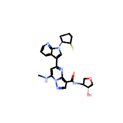 CNc1cc(-c2cn([C@H]3CCC[C@H]3F)c3ncccc23)nc2c(C(=O)NC3COC[C@@H]3O)cnn12